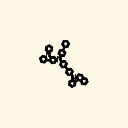 C1=CC(c2ccc(N(c3ccc(-c4ccc(-n5c6ccccc6c6c7ccccc7ccc65)cc4)cc3)c3ccc4c5ccccc5n(-c5ccccc5)c4c3)cc2)=CCC1